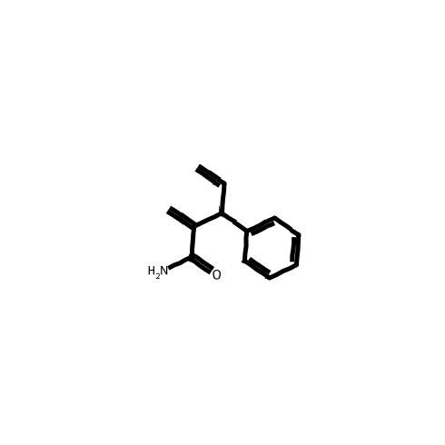 C=CC(C(=C)C(N)=O)c1ccccc1